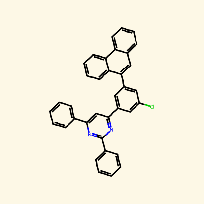 Clc1cc(-c2cc(-c3ccccc3)nc(-c3ccccc3)n2)cc(-c2cc3ccccc3c3ccccc23)c1